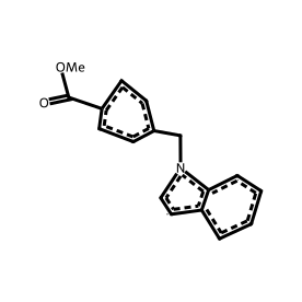 COC(=O)c1ccc(Cn2c[c]c3ccccc32)cc1